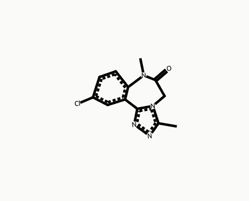 Cc1nnc2n1CC(=O)N(C)c1ccc(Cl)cc1-2